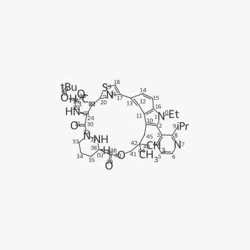 CCn1c(-c2cccnc2C(C)C)c2c3cc(ccc31)-c1csc(n1)[C@@H](C)[C@H](NC(=O)OC(C)(C)C)C(=O)N1CCC[C@H](N1)C(=O)OCC(C)(C)C2